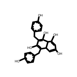 OC1=CC2C(Cc3ccc(O)cc3)=C(O)C(Cc3ccc(O)cc3)=C(O)C2C(O)=C1